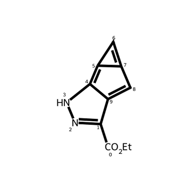 CCOC(=O)c1n[nH]c2c3cc-3cc12